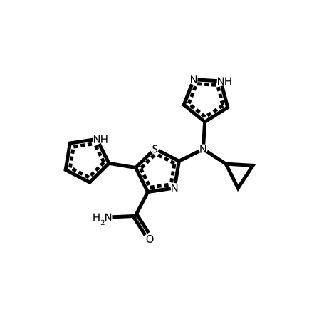 NC(=O)c1nc(N(c2cn[nH]c2)C2CC2)sc1-c1ccc[nH]1